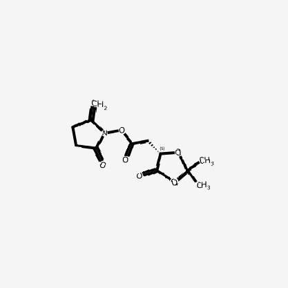 C=C1CCC(=O)N1OC(=O)C[C@@H]1OC(C)(C)OC1=O